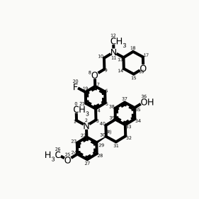 CCN(Cc1ccc(OCCN(C)C2CCOCC2)c(F)c1)c1cc(OC)ccc1[C@@H]1CCc2cc(O)ccc2C1